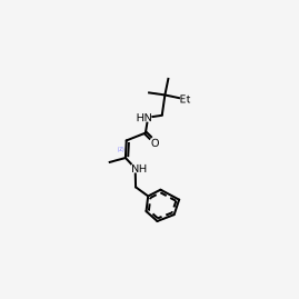 CCC(C)(C)CNC(=O)/C=C(/C)NCc1ccccc1